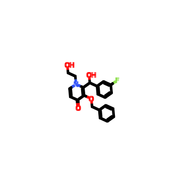 O=c1ccn(CCO)c(C(O)c2cccc(F)c2)c1OCc1ccccc1